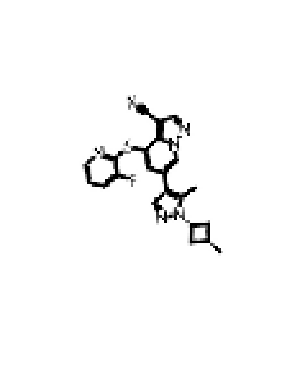 Cc1c(-c2cc(Sc3ncccc3F)c3c(C#N)cnn3c2)cnn1[C@H]1C[C@H](C)C1